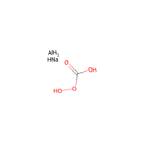 O=C(O)OO.[AlH3].[NaH]